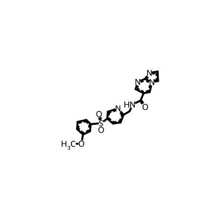 COc1cccc(S(=O)(=O)c2ccc(CNC(=O)c3cnc4nccn4c3)nc2)c1